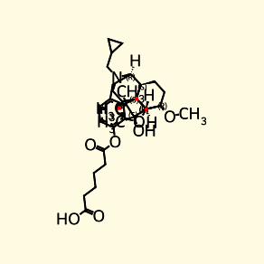 CO[C@]12CC[C@@]3(C[C@@H]1[C@](C)(O)C(C)(C)C)[C@H]1Cc4ccc(OC(=O)CCCCC(=O)O)c5c4[C@@]3(CCN1CC1CC1)[C@H]2O5